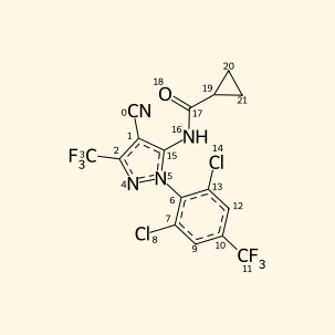 N#Cc1c(C(F)(F)F)nn(-c2c(Cl)cc(C(F)(F)F)cc2Cl)c1NC(=O)C1CC1